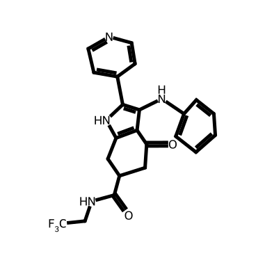 O=C1CC(C(=O)NCC(F)(F)F)Cc2[nH]c(-c3ccncc3)c(Nc3ccccc3)c21